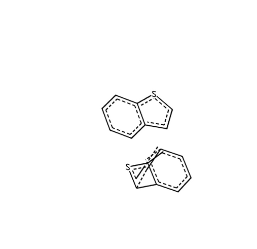 c1cc2c3sc-2cc3c1.c1ccc2sccc2c1